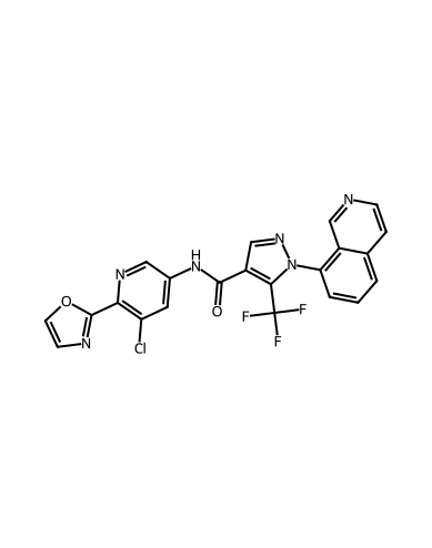 O=C(Nc1cnc(-c2ncco2)c(Cl)c1)c1cnn(-c2cccc3ccncc23)c1C(F)(F)F